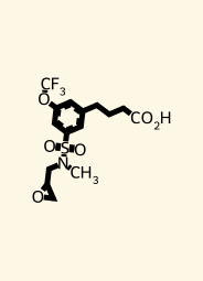 CN(CC1CO1)S(=O)(=O)c1cc(CCCC(=O)O)cc(OC(F)(F)F)c1